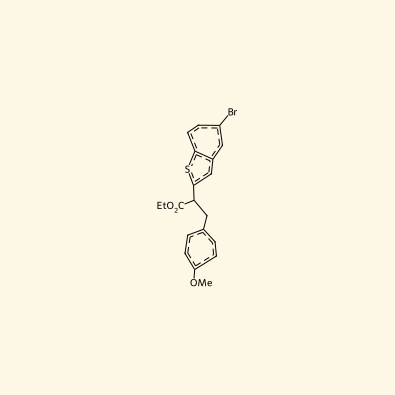 CCOC(=O)C(Cc1ccc(OC)cc1)c1cc2cc(Br)ccc2s1